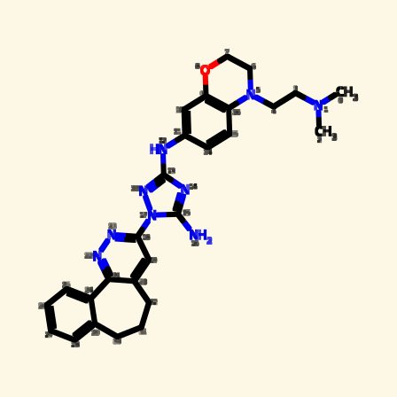 CN(C)CCN1CCOc2cc(Nc3nc(N)n(-c4cc5c(nn4)-c4ccccc4CCC5)n3)ccc21